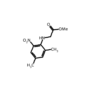 COC(=O)CNc1c(C)cc(C)cc1[N+](=O)[O-]